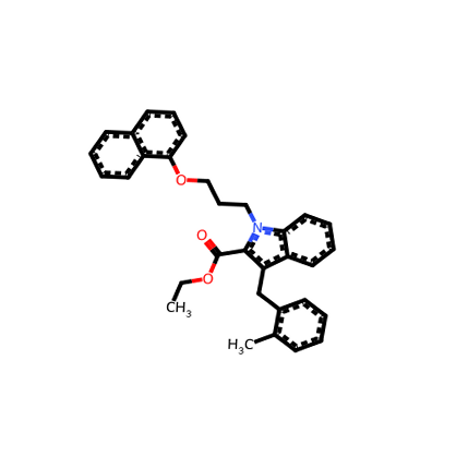 CCOC(=O)c1c(Cc2ccccc2C)c2ccccc2n1CCCOc1cccc2ccccc12